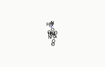 C=NN/C=C(\CC)c1ccc(C(=O)Nc2sc(C)c(-c3ccc(OC)cc3)c2C#N)c(C(=O)OC)c1